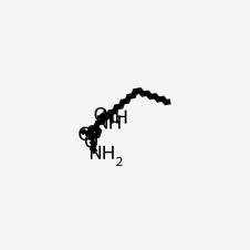 CCCCCCCC/C=C\CCCCCCCCNC(=O)NCc1ccc(OCCN)c(OC)c1